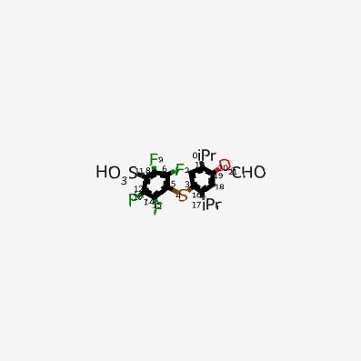 CC(C)c1cc(Sc2c(F)c(F)c(S(=O)(=O)O)c(F)c2F)c(C(C)C)cc1OC=O